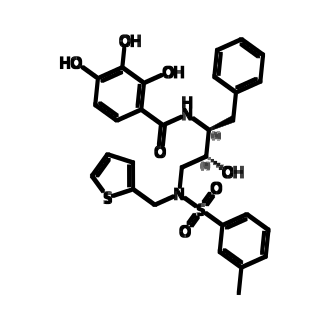 Cc1cccc(S(=O)(=O)N(Cc2cccs2)C[C@@H](O)[C@H](Cc2ccccc2)NC(=O)c2ccc(O)c(O)c2O)c1